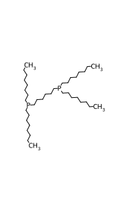 CCCCCCCCP(CCCCCCCC)CCCCCCP(CCCCCCCC)CCCCCCCC